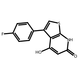 O=c1cc(O)c2c(-c3ccc(F)cc3)csc2[nH]1